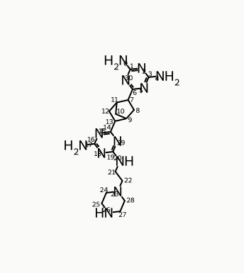 Nc1nc(N)nc(C2CC3CC2CC3c2nc(N)nc(NCCN3CCNCC3)n2)n1